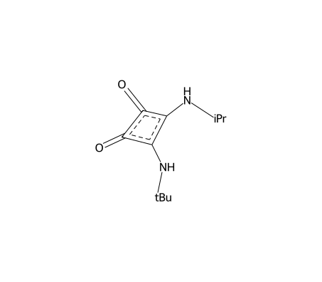 CC(C)Nc1c(NC(C)(C)C)c(=O)c1=O